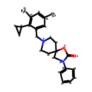 O=C1OC2(CCN(Cc3cc(C(F)(F)F)cc(C(F)(F)F)c3C3CC3)CC2)CN1c1ccccc1